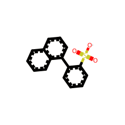 [O]S(=O)(=O)c1ccccc1-c1cccc2ccccc12